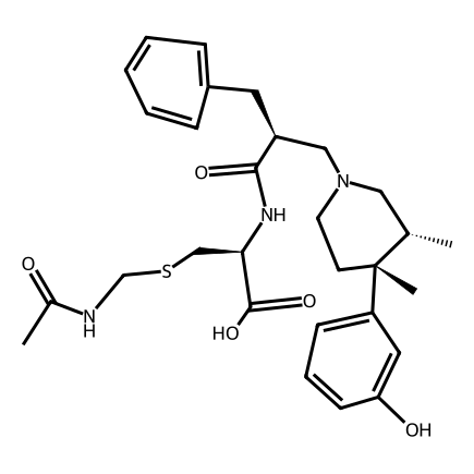 CC(=O)NCSC[C@@H](NC(=O)[C@@H](Cc1ccccc1)CN1CC[C@@](C)(c2cccc(O)c2)[C@@H](C)C1)C(=O)O